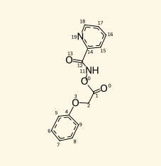 O=C(COc1ccccc1)ONC(=O)c1ccccn1